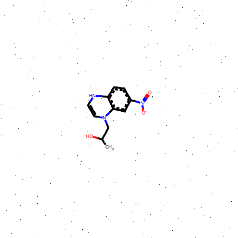 CC(O)CN1C=CNc2ccc([N+](=O)[O-])cc21